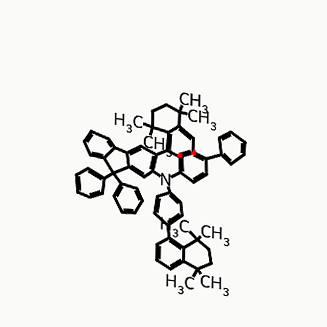 CC1(C)CCC(C)(C)c2c(-c3ccc(N(c4ccc(-c5ccccc5)cc4)c4cc5c(cc4-c4cccc6c4C(C)(C)CCC6(C)C)-c4ccccc4C5(c4ccccc4)c4ccccc4)cc3)cccc21